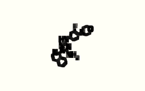 Nc1nc(Nc2ccc(N3CCOCC3)c(F)c2)nn1-c1nccc2ccccc12